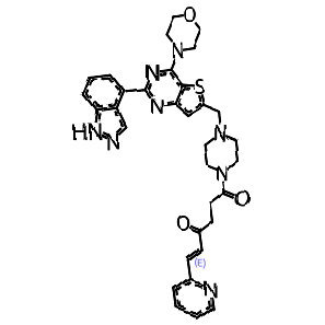 O=C(/C=C/c1ccccn1)CCC(=O)N1CCN(Cc2cc3nc(-c4cccc5[nH]ncc45)nc(N4CCOCC4)c3s2)CC1